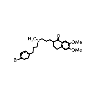 COc1cc2c(cc1OC)C(=O)C(CCCN(C)CCCc1ccc(Br)cc1)CC2